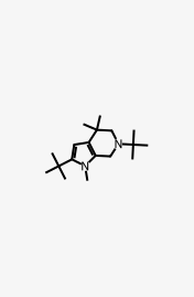 Cn1c(C(C)(C)C)cc2c1CN(C(C)(C)C)CC2(C)C